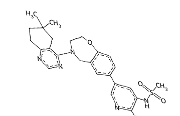 Cc1ncc(-c2ccc3c(c2)CN(c2ncnc4c2CC(C)(C)CC4)CCO3)cc1NS(C)(=O)=O